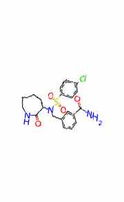 NC(=O)c1cccc(CN(C2CCCCNC2=O)S(=O)(=O)c2ccc(Cl)cc2)c1